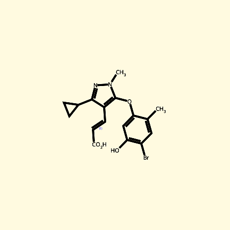 Cc1cc(Br)c(O)cc1Oc1c(/C=C/C(=O)O)c(C2CC2)nn1C